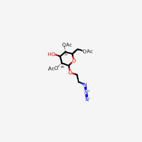 CC(=O)OCC1OC(OCCN=[N+]=[N-])[C@H](OC(C)=O)C(O)[C@@H]1OC(C)=O